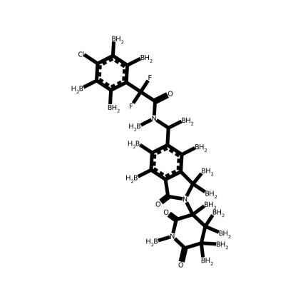 Bc1c(B)c(C(F)(F)C(=O)N(B)C(B)c2c(B)c(B)c3c(c2B)C(B)(B)N(C2(B)C(=O)N(B)C(=O)C(B)(B)C2(B)B)C3=O)c(B)c(B)c1Cl